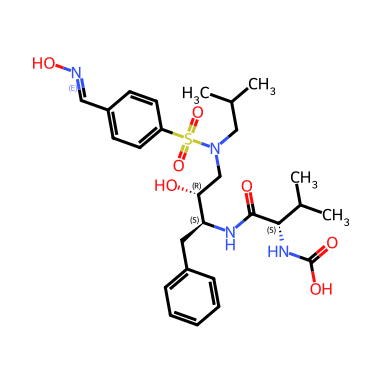 CC(C)CN(C[C@@H](O)[C@H](Cc1ccccc1)NC(=O)[C@@H](NC(=O)O)C(C)C)S(=O)(=O)c1ccc(/C=N/O)cc1